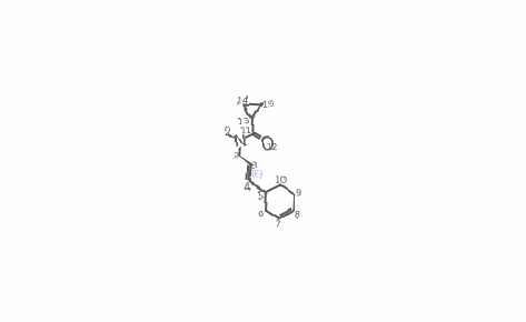 CN(C/C=C/C1CC=CCC1)C(=O)C1CC1